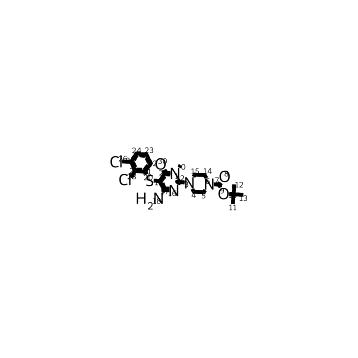 Cn1c(N2CCN(C(=O)OC(C)(C)C)CC2)nc(N)c(Sc2cccc(Cl)c2Cl)c1=O